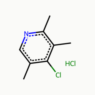 Cc1cnc(C)c(C)c1Cl.Cl